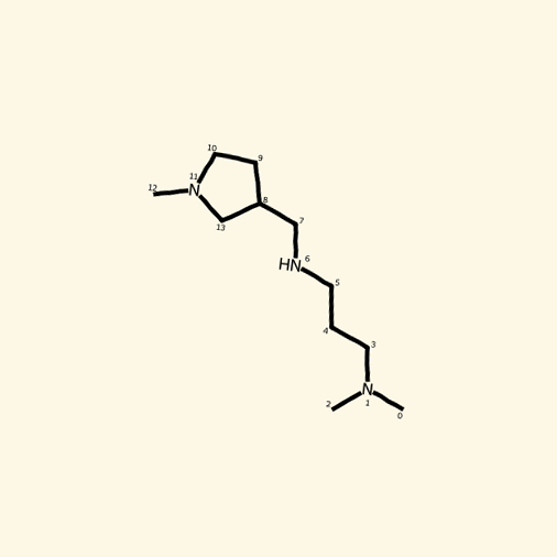 CN(C)CCCNCC1CCN(C)C1